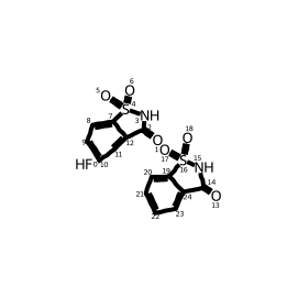 F.O=C1NS(=O)(=O)c2ccccc21.O=C1NS(=O)(=O)c2ccccc21